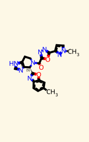 Cc1ccc2nc([C@@H]3c4nc[nH]c4CCN3C(=O)c3nnc(-c4ccn(C)n4)o3)oc2c1